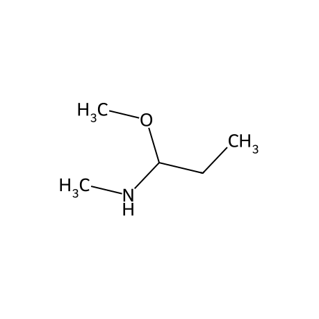 CCC(NC)OC